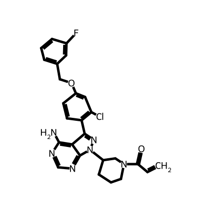 C=CC(=O)N1CCCC(n2nc(-c3ccc(OCc4cccc(F)c4)cc3Cl)c3c(N)ncnc32)C1